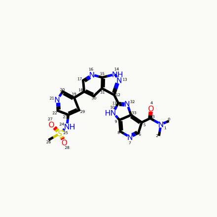 CN(C)C(=O)c1cncc2[nH]c(-c3n[nH]c4ncc(-c5cncc(NS(C)(=O)=O)c5)cc34)nc12